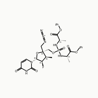 CC(C)OC(=O)[C@H](C)NP(=O)(N[C@@H](C)C(=O)OC(C)C)OC[C@@]1(CN=[N+]=[N-])O[C@@H](n2ccc(=O)[nH]c2=O)[C@H](F)[C@@H]1C